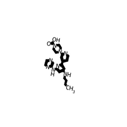 CCCCNc1cc(Nc2cnccn2)nc(-c2ccnc(N3CCN(C(=O)O)CC3)c2)c1